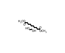 COC(=O)CCCCCCCCC(=O)OC.OCCO